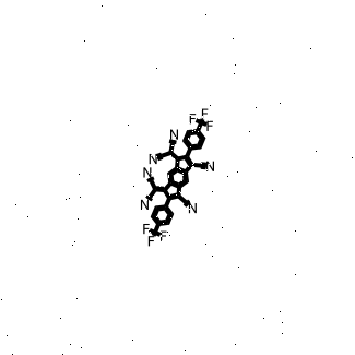 N#CC(C#N)=C1C(c2ccc(C(F)(F)F)cc2)=C(C#N)c2cc3c(cc21)C(C(C#N)C#N)C(c1ccc(C(F)(F)F)cc1)=C3C#N